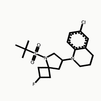 CC(C)(C)S(=O)(=O)N1CC(N2CCCc3cc(Cl)ccc32)CC12CC(F)C2